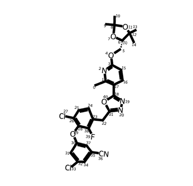 Cc1nc(OC[C@@H]2OC(C)(C)OC2(C)C)ccc1-c1nnc(Cc2ccc(Cl)c(Oc3cc(Cl)cc(C#N)c3)c2F)o1